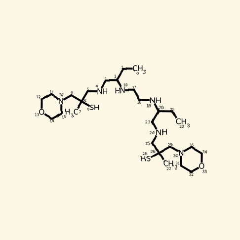 CCC(CNCC(C)(S)CN1CCOCC1)NCCNC(CC)CNCC(C)(S)CN1CCOCC1